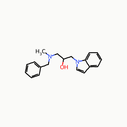 CN(Cc1ccccc1)CC(O)Cn1ccc2ccccc21